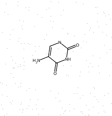 NC1=C[N]C(=O)NC1=O